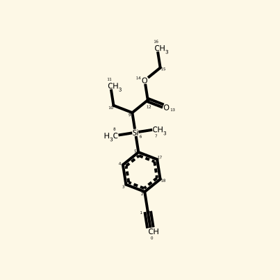 C#Cc1ccc([Si](C)(C)C(CC)C(=O)OCC)cc1